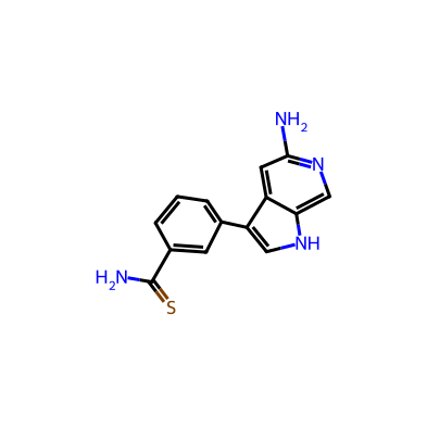 NC(=S)c1cccc(-c2c[nH]c3cnc(N)cc23)c1